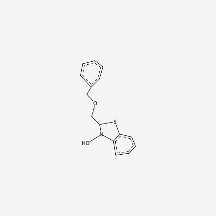 ON1c2ccccc2SC1COCc1ccccc1